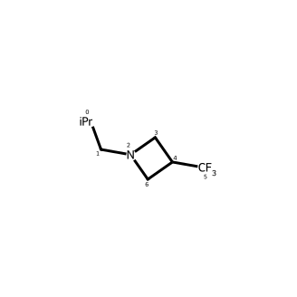 CC(C)CN1CC(C(F)(F)F)C1